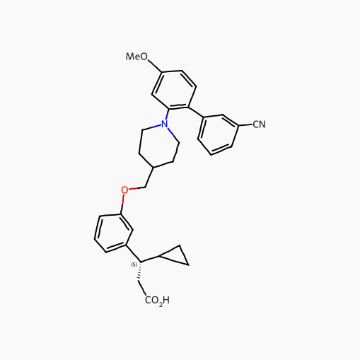 COc1ccc(-c2cccc(C#N)c2)c(N2CCC(COc3cccc([C@@H](CC(=O)O)C4CC4)c3)CC2)c1